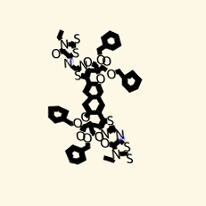 CCN1C(=O)/C(=N/c2nc3c(s2)C2=CC4C=C5OC(C(=O)OCc6ccccc6)(C(=O)OCc6ccccc6)c6nc(/N=C7/SC(=S)N(CC)C7=O)sc6C5=CC4C=C2OC3(C(=O)OCc2ccccc2)C(=O)OCc2ccccc2)SC1=S